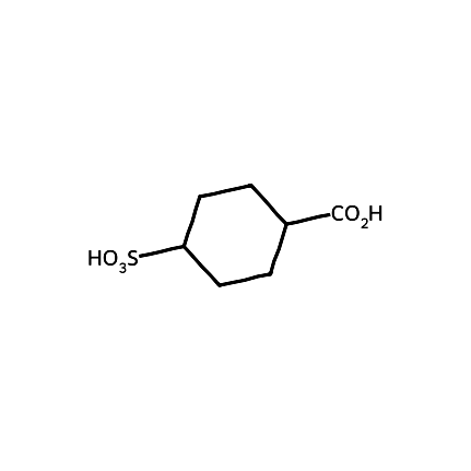 O=C(O)C1CCC(S(=O)(=O)O)CC1